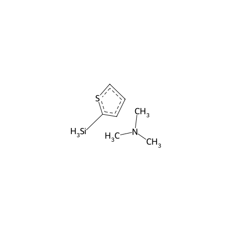 CN(C)C.[SiH3]c1cccs1